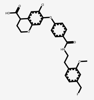 COc1cc(CF)ccc1CCNC(=O)c1ccc(Oc2cc3c(cc2Cl)C(C(=O)O)CCO3)cc1